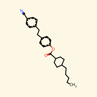 CCCCCC1CCC(C(=O)Oc2ccc(CCc3ccc(C#N)cc3)cc2)CC1